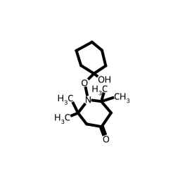 CC1(C)CC(=O)CC(C)(C)N1OC1(O)CCCCC1